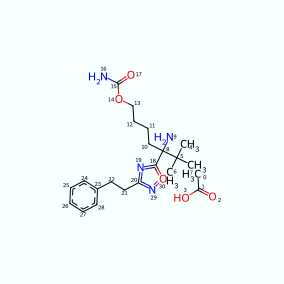 CC(=O)O.CC(C)(C)C(N)(CCCCOC(N)=O)c1nc(CCc2ccccc2)no1